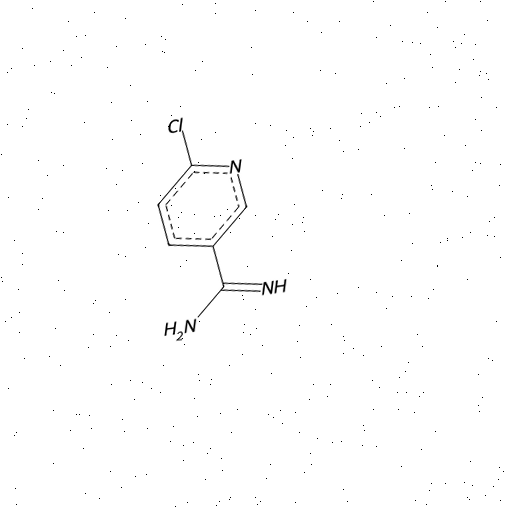 N=C(N)c1ccc(Cl)nc1